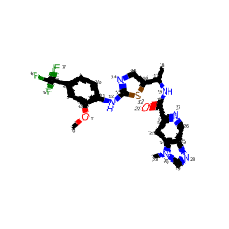 COc1cc(C(F)(F)F)ccc1NC1=NCC(C(C)NC(=O)c2cc3c(cn2)ncn3C)S1